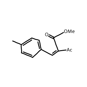 COC(=O)/C(=C\c1ccc(C)cc1)C(C)=O